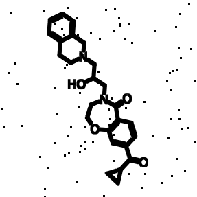 O=C(c1ccc2c(c1)OCCN(CC(O)CN1CCc3ccccc3C1)C2=O)C1CC1